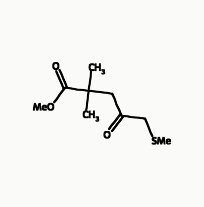 COC(=O)C(C)(C)CC(=O)CSC